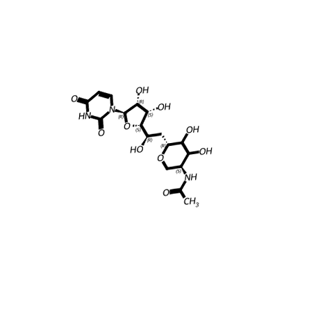 CC(=O)N[C@H]1CO[C@H](C[C@@H](O)[C@@H]2O[C@@H](n3ccc(=O)[nH]c3=O)[C@H](O)[C@@H]2O)C(O)C1O